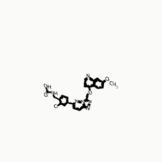 COc1ccc2c(OCc3nnc4ccc(-c5ccc(CNC(=O)O)c(Cl)c5)nn34)ccnc2c1